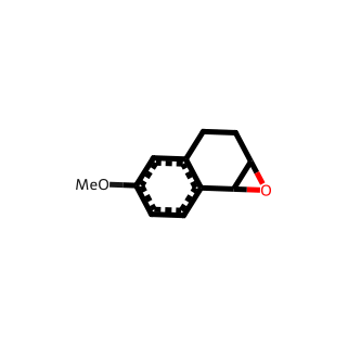 COc1ccc2c(c1)CCC1OC21